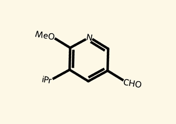 COc1ncc(C=O)cc1C(C)C